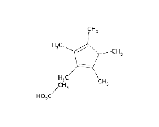 CC(=O)O.CC1=C(C)C(C)C(C)=C1C